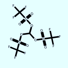 O=S(=O)(OC(OS(=O)(=O)C(F)(F)F)OS(=O)(=O)C(F)(F)F)C(F)(F)F